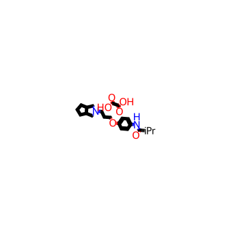 CC(C)C(=O)Nc1ccc(OCCCN2CC3CCCC3C2)cc1.O=C(O)C(=O)O